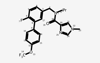 CC(C)N(Cc1ccc(F)c(-c2ccc(OC(F)(F)F)cc2)c1)C(=O)c1cn(C)cn1